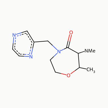 CNC1C(=O)N(Cc2cnccn2)CCOC1C